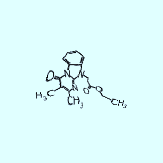 CCOC(=O)Cn1c2ccccc2n2c(=O)c(C)c(C)nc12